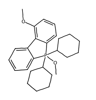 COc1cccc2c1-c1ccccc1P2(OC)(C1CCCCC1)C1CCCCC1